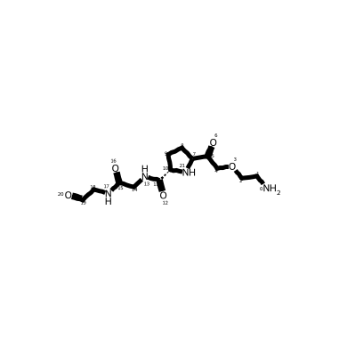 NCCOCC(=O)C1CC[C@@H](C(=O)NCC(=O)NCC=O)N1